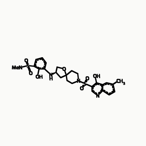 CNS(=O)(=O)c1cccc(N[C@H]2COC3(CCN(S(=O)(=O)c4cnc5ccc(C)cc5c4O)CC3)C2)c1O